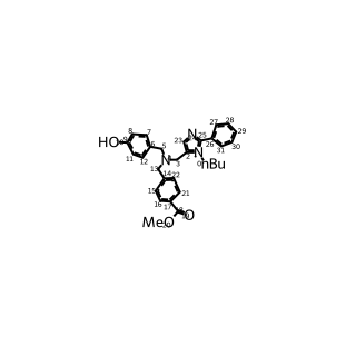 CCCCn1c(CN(Cc2ccc(O)cc2)Cc2ccc(C(=O)OC)cc2)cnc1-c1ccccc1